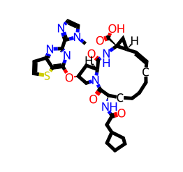 Cn1ccnc1-c1nc(O[C@@H]2C[C@H]3C(=O)N[C@]4(C(=O)O)C[C@H]4/C=C\CCCCC[C@H](NC(=O)CC4CCCC4)C(=O)N3C2)c2sccc2n1